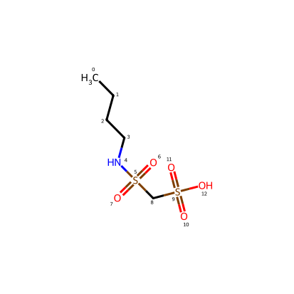 CCCCNS(=O)(=O)CS(=O)(=O)O